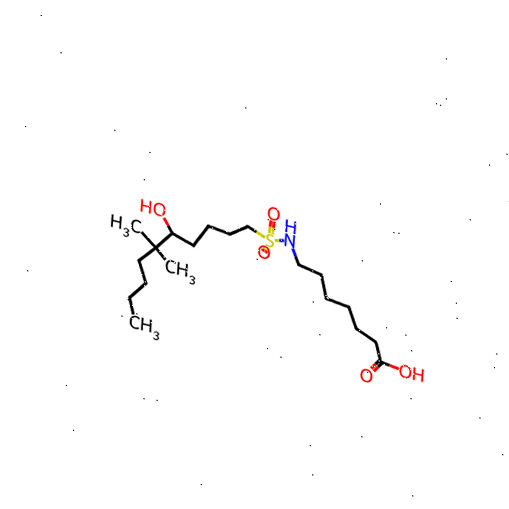 CCCCC(C)(C)C(O)CCCCS(=O)(=O)NCCCCCCC(=O)O